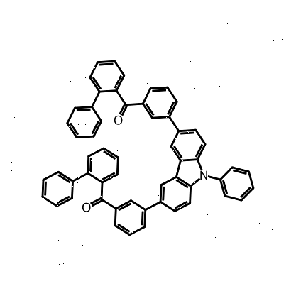 O=C(c1cccc(-c2ccc3c(c2)c2cc(-c4cccc(C(=O)c5ccccc5-c5ccccc5)c4)ccc2n3-c2ccccc2)c1)c1ccccc1-c1ccccc1